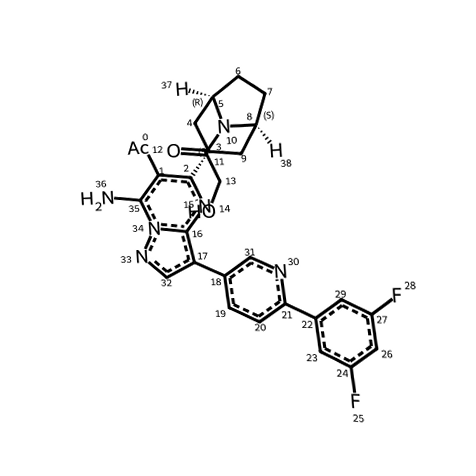 CC(=O)c1c([C@@H]2C[C@H]3CC[C@@H](C2)N3C(=O)CO)nc2c(-c3ccc(-c4cc(F)cc(F)c4)nc3)cnn2c1N